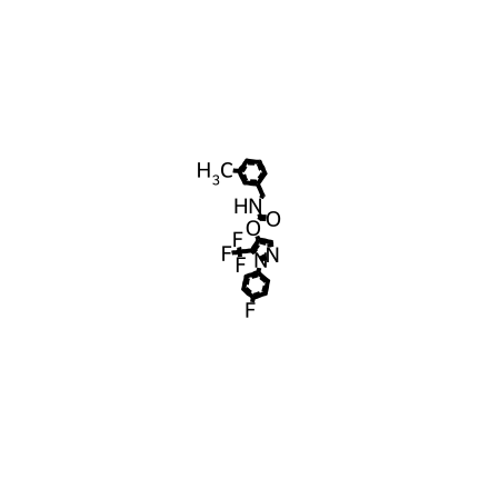 Cc1cccc(CNC(=O)Oc2cnn(-c3ccc(F)cc3)c2C(F)(F)F)c1